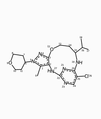 Cc1c2c(nn1C1CCOCC1)OCCC(C(C)C)Nc1nc(ncc1Cl)N2